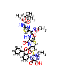 CO/N=C(\C(=O)N[C@@H]1C(=O)N2C(C(=O)OC(c3ccccc3)c3ccccc3)=C(CSc3nc(=O)c(O)nn3C)CS[C@H]12)c1csc(NC(=O)OC(C)(C)C)n1